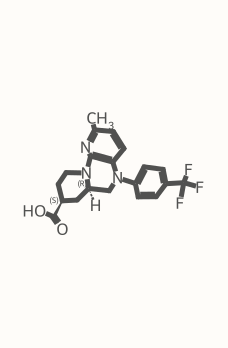 Cc1ccc2c(n1)N1CC[C@H](C(=O)O)C[C@@H]1CN2c1ccc(C(F)(F)F)cc1